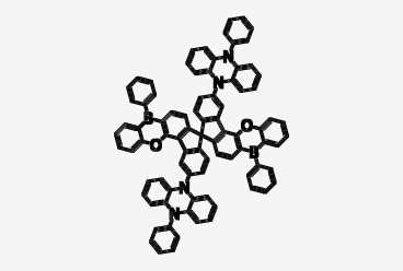 c1ccc(B2c3ccccc3Oc3c2ccc2c3-c3cc(N4c5ccccc5N(c5ccccc5)c5ccccc54)ccc3C23c2ccc(N4c5ccccc5N(c5ccccc5)c5ccccc54)cc2-c2c3ccc3c2Oc2ccccc2B3c2ccccc2)cc1